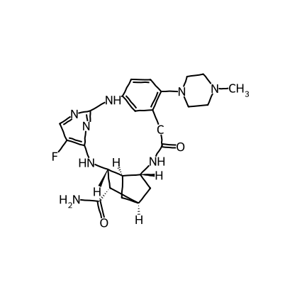 CN1CCN(c2ccc3cc2CC(=O)N[C@@H]2C[C@@H]4C[C@H]2[C@@H](Nc2nc(ncc2F)N3)[C@H]4C(N)=O)CC1